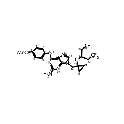 COc1ccc(Sc2nc(N)nc3c2ncn3CC2(O[C](CC(F)(F)F)CC(F)(F)F)CC2)cc1